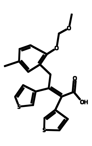 COCOc1ccc(C)cc1CC(=C(C(=O)O)c1ccsc1)c1ccsc1